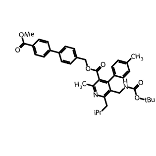 COC(=O)c1ccc(-c2ccc(COC(=O)c3c(C)nc(CC(C)C)c(CNC(=O)OC(C)(C)C)c3-c3ccc(C)cc3)cc2)cc1